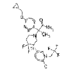 CC(C(N)=O)(c1ccc(OCC2CC2)nn1)N1CCC(F)(F)[C@@H](c2ccc(=O)n(CC(F)(F)F)c2)C1